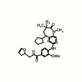 COc1cc(C(=O)NCC2CC=CO2)ccc1Nc1ncc2c(n1)N(C1CCCC1)CC(C)(C)C(=O)N2C